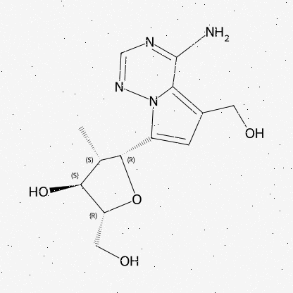 C[C@H]1[C@H](O)[C@@H](CO)O[C@H]1c1cc(CO)c2c(N)ncnn12